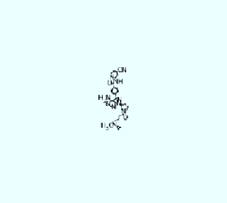 CN(CC=CC(=O)N1CCC[C@@H](n2nc(-c3ccc(C(=O)Nc4cc(C#N)ccn4)cc3)c3c(N)ncnc32)C1)C1CC1